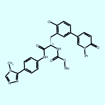 CC(C)n1cc(-c2ccc(Cl)c(C[C@H](NC(=O)OC(C)(C)C)C(=O)Nc3ccc(-c4nncn4C)cc3)c2)ccc1=O